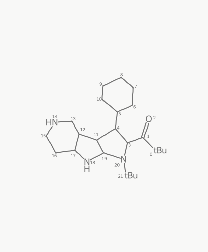 CC(C)(C)C(=O)C1C(C2CCCCC2)C2C3CNCCC3NC2N1C(C)(C)C